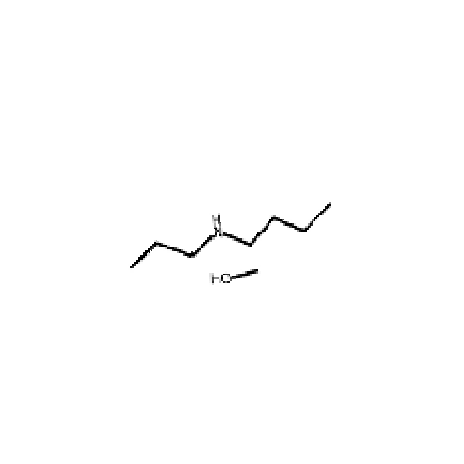 CCCCNCCC.CO